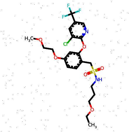 CCOCCCNS(=O)(=O)Cc1ccc(OCCOC)cc1Oc1ncc(C(F)(F)F)cc1Cl